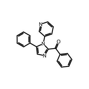 O=C(c1ccccc1)c1ncc(-c2ccccc2)n1-c1cccnc1